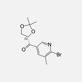 Cc1cc(C(=O)[C@@H]2COC(C)(C)O2)cnc1Br